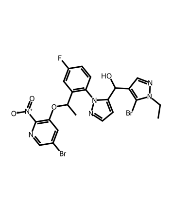 CCn1ncc(C(O)c2ccnn2-c2ccc(F)cc2C(C)Oc2cc(Br)cnc2[N+](=O)[O-])c1Br